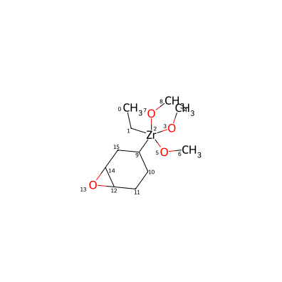 C[CH2][Zr]([O]C)([O]C)([O]C)[CH]1CCC2OC2C1